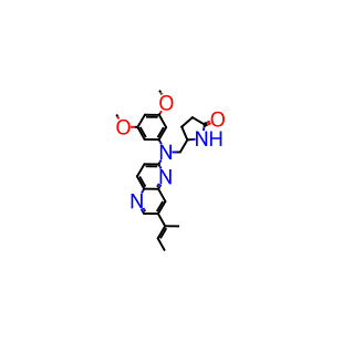 C/C=C(\C)c1cnc2ccc(N(CC3CCC(=O)N3)c3cc(OC)cc(OC)c3)nc2c1